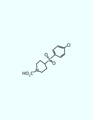 O=C(O)N1CCC(S(=O)(=O)c2ccc(Cl)cc2)CC1